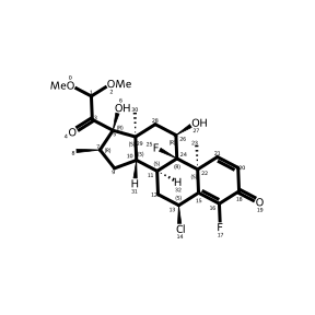 COC(OC)C(=O)[C@@]1(O)[C@H](C)C[C@H]2[C@@H]3C[C@H](Cl)C4=C(F)C(=O)C=C[C@]4(C)[C@@]3(F)[C@H](O)C[C@@]21C